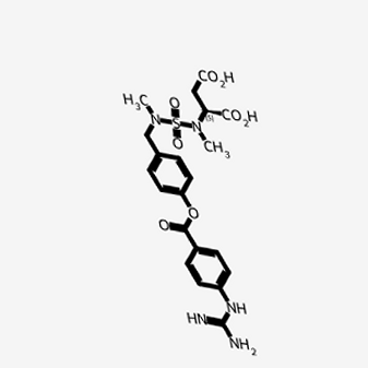 CN(Cc1ccc(OC(=O)c2ccc(NC(=N)N)cc2)cc1)S(=O)(=O)N(C)[C@@H](CC(=O)O)C(=O)O